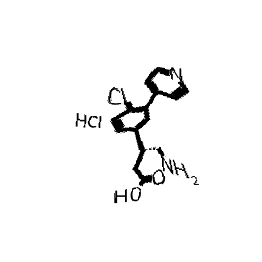 Cl.NC[C@H](CC(=O)O)c1ccc(Cl)c(-c2ccncc2)c1